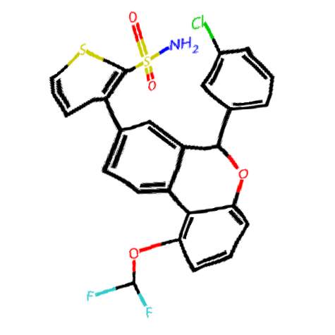 NS(=O)(=O)c1sccc1-c1ccc2c(c1)C(c1cccc(Cl)c1)Oc1cccc(OC(F)F)c1-2